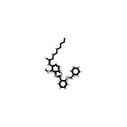 CCCCCCCCC(C)=Cc1ccc2sc(-c3ccccc3OCc3ccccc3)nc2c1OC